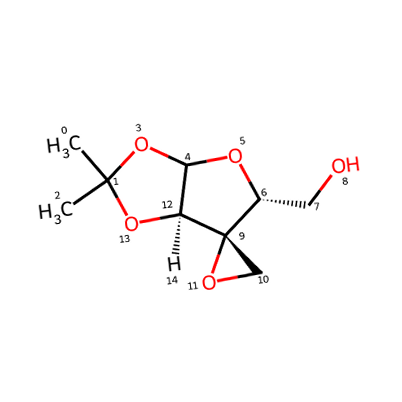 CC1(C)OC2O[C@H](CO)[C@@]3(CO3)[C@H]2O1